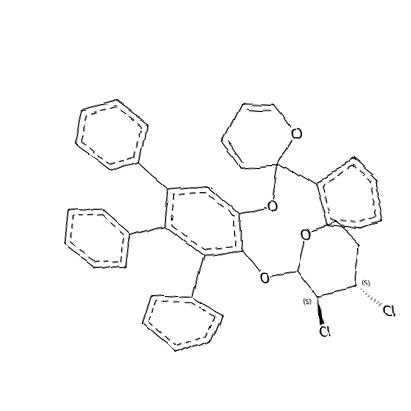 Cl[C@H]1CCOC(Oc2c(OC3(c4ccccc4)C=CC=CO3)[c]c(-c3ccccc3)c(-c3ccccc3)c2-c2ccccc2)[C@@H]1Cl